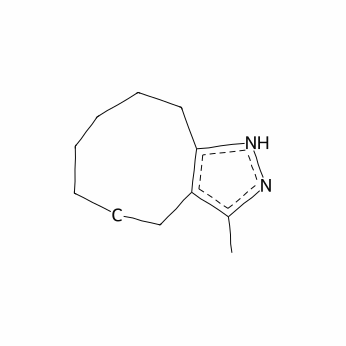 Cc1n[nH]c2c1CCCCCCC2